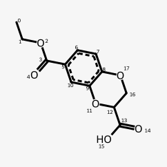 CCOC(=O)c1ccc2c(c1)OC(C(=O)O)CO2